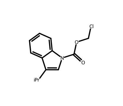 CC(C)c1cn(C(=O)OCCl)c2ccccc12